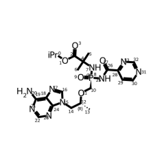 CC(C)OC(=O)C(C)(C)N[P@](=O)(CO[C@H](C)Cn1cnc2c(N)ncnc21)NC(=O)c1ccncn1